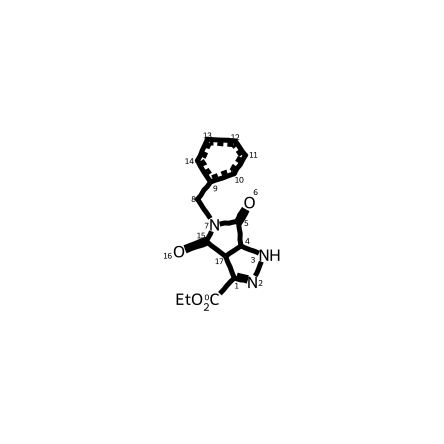 CCOC(=O)C1=NNC2C(=O)N(Cc3ccccc3)C(=O)C12